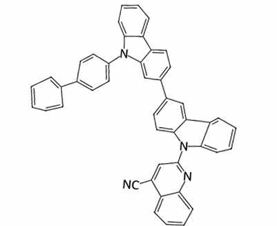 N#Cc1cc(-n2c3ccccc3c3cc(-c4ccc5c6ccccc6n(-c6ccc(-c7ccccc7)cc6)c5c4)ccc32)nc2ccccc12